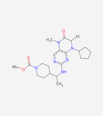 CCC1C(=O)N(C)c2cnc(NC(C)C3CCN(C(=O)OC(C)(C)C)CC3)nc2N1C1CCCC1